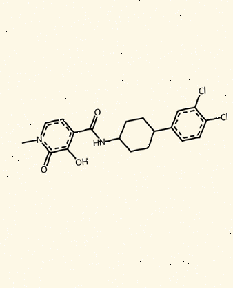 Cn1ccc(C(=O)NC2CCC(c3ccc(Cl)c(Cl)c3)CC2)c(O)c1=O